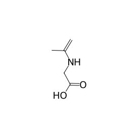 C=C(C)NCC(=O)O